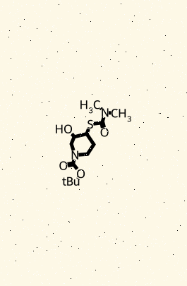 CN(C)C(=O)SC1CCN(C(=O)OC(C)(C)C)CC1O